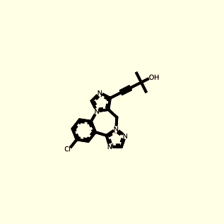 CC(C)(O)C#Cc1ncn2c1Cn1ncnc1-c1cc(Cl)ccc1-2